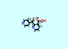 C=C(c1ccncc1)c1ncccc1C(=O)O